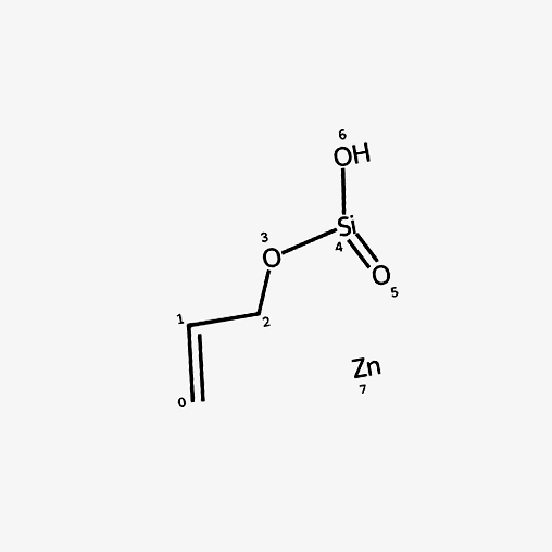 C=CCO[Si](=O)O.[Zn]